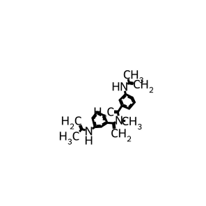 C=C(C)Nc1cccc(C(=C)N(C)C(=C)c2cccc(NC(=C)C)c2)c1